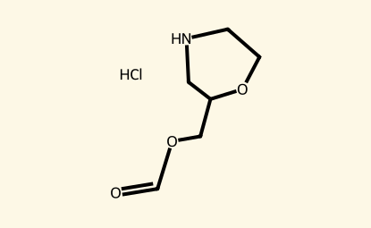 Cl.O=COCC1CNCCO1